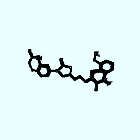 COc1cccc2c1cn(CCCC1CN(c3ccc4c(c3)NC(=O)CS4)C(=O)O1)c(=O)[n+]2[O-]